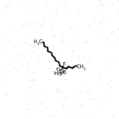 CCCCCCCCCCCC(F)(CCCCC)S(=O)(=O)O